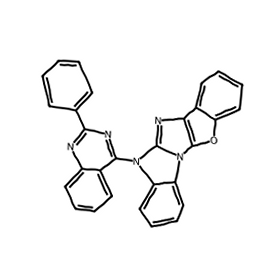 c1ccc(-c2nc(-n3c4ccccc4n4c5oc6ccccc6c5nc34)c3ccccc3n2)cc1